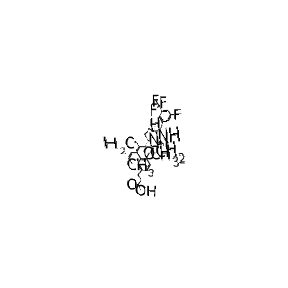 C=C/C(C[C@@H]1CC[C@H]2[C@@H](c3cc(F)cc(C(F)(F)F)c3)NC(=C)N12)=C(\C=C/C)c1cc(CCC(=O)O)ccc1OC